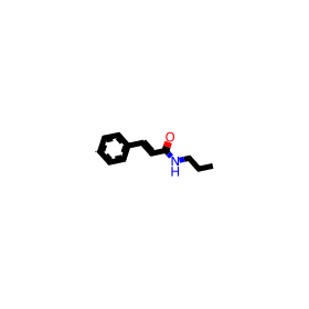 CCCNC(=O)C=Cc1cc[c]cc1